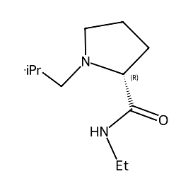 CCNC(=O)[C@H]1CCCN1C[C](C)C